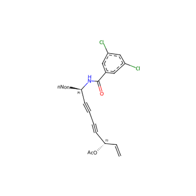 C=C[C@@H](C#CC#C[C@@H](CCCCCCCCC)NC(=O)c1cc(Cl)cc(Cl)c1)OC(C)=O